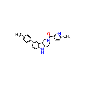 Cc1ccc(-c2ccc3[nH]c4c(c3c2)CN(C(=O)c2ccc(C)nc2)CC4)cc1